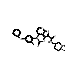 Cc1cc(Oc2ccccc2)ccc1N1C(=O)Nc2c(C(=O)NC3CC[C@H](C)NC3)sc3nccc1c23